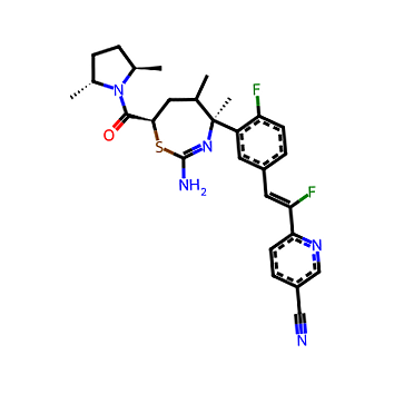 CC1C[C@H](C(=O)N2[C@H](C)CC[C@H]2C)SC(N)=N[C@]1(C)c1cc(/C=C(\F)c2ccc(C#N)cn2)ccc1F